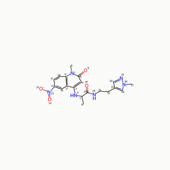 CC(Nc1cc(=O)n(C)c2ccc([N+](=O)[O-])cc12)C(=O)NCCc1cnn(C)c1